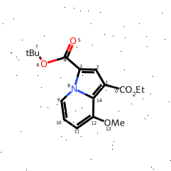 CCOC(=O)c1cc(C(=O)OC(C)(C)C)n2cccc(OC)c12